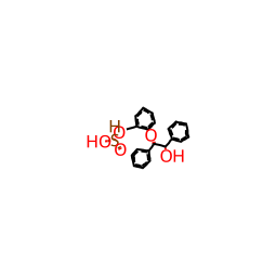 Cc1ccccc1.O=C(c1ccccc1)C(O)c1ccccc1.O=[SH](=O)O